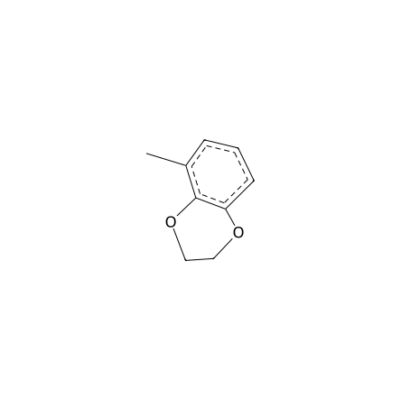 Cc1cccc2c1OCCO2